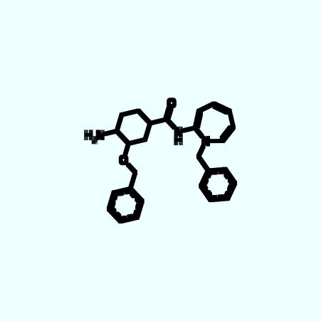 NC1CCC(C(=O)NC2=CC=CC=CN2Cc2ccccc2)CC1OCc1ccccc1